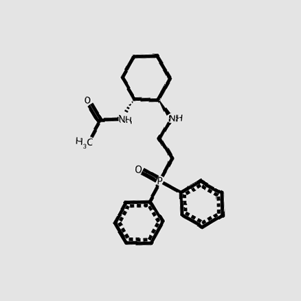 CC(=O)N[C@@H]1CCCC[C@H]1NCCP(=O)(c1ccccc1)c1ccccc1